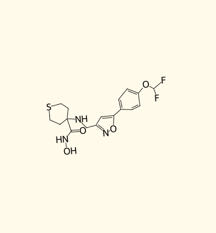 O=C(NO)C1(NCc2cc(-c3ccc(OC(F)F)cc3)on2)CCSCC1